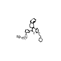 CCCCCOc1cccc(C(=O)C2=C(c3ccc(OCCN4CCCCC4)cc3)c3ccccc3CC2)c1